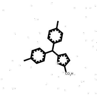 Cc1ccc(C(c2ccc(C)cc2)c2ccc(C(=O)O)s2)cc1